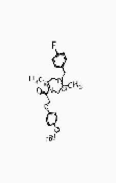 CCCCOc1ccc(OCC(=O)N2C[C@H](C)N(Cc3ccc(F)cc3)C[C@H]2C)cc1